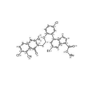 CCc1cc(-c2cc(Cl)ccc2OCCn2c(C)nc3cnc(Cl)c(C#N)c3c2=O)c2scc(C(=O)OC(C)(C)C)c2n1